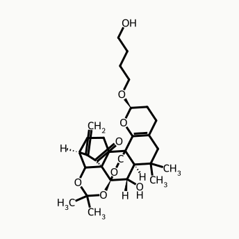 C=C1C(=O)[C@@]23C4OC(C)(C)O[C@]25OCC2(C6=C(CC[C@H](OCCCCO)O6)CC(C)(C)[C@H]2[C@@H]5O)C3CC[C@@H]14